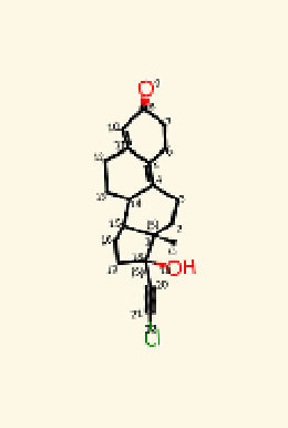 C[C@]12CCC3=C4CCC(=O)C=C4CCC3C1CC[C@@]2(O)C#CCl